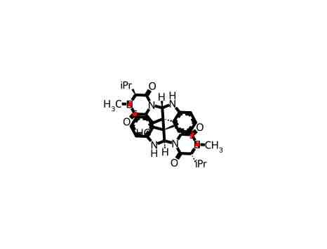 CC(C)[C@]12SS[C@@]3(C[C@]4([C@]56c7ccccc7N[C@H]5N5C(=O)[C@]7(C(C)C)SS[C@]5(C(=O)N7C)[C@H]6O)c5ccccc5N[C@@H]4N3C1=O)C(=O)N2C